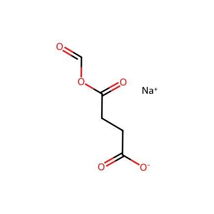 O=COC(=O)CCC(=O)[O-].[Na+]